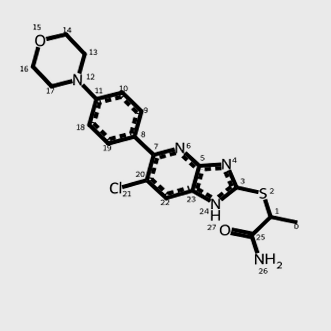 CC(Sc1nc2nc(-c3ccc(N4CCOCC4)cc3)c(Cl)cc2[nH]1)C(N)=O